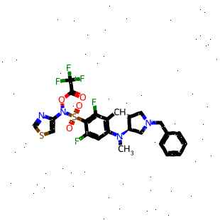 Cc1c(N(C)[C@H]2CCN(Cc3ccccc3)C2)cc(F)c(S(=O)(=O)N(OC(=O)C(F)(F)F)c2cscn2)c1F